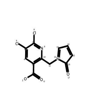 O=C([O-])c1cc(Cl)c(Cl)nc1C[N+]1=CC=CC1=O